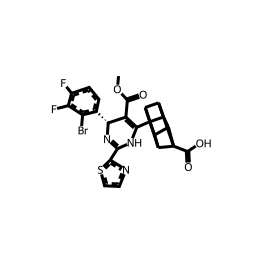 COC(=O)C1=C(C23C4C5C2C2C3C4C52C(=O)O)NC(c2nccs2)=N[C@@H]1c1ccc(F)c(F)c1Br